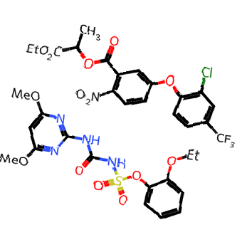 CCOC(=O)C(C)OC(=O)c1cc(Oc2ccc(C(F)(F)F)cc2Cl)ccc1[N+](=O)[O-].CCOc1ccccc1OS(=O)(=O)NC(=O)Nc1nc(OC)cc(OC)n1